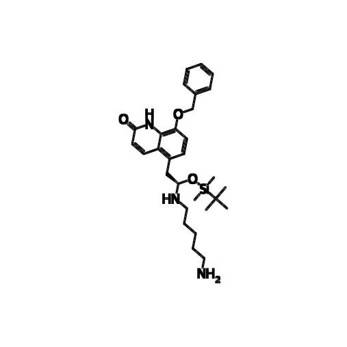 CC(C)(C)[Si](C)(C)O[C@H](Cc1ccc(OCc2ccccc2)c2[nH]c(=O)ccc12)NCCCCCN